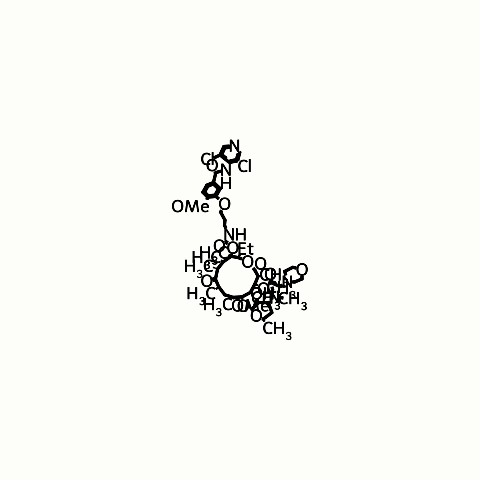 CC[C@H]1OC(=O)[C@H](C)[C@@H](OC(=O)CN2CCOCC2)[C@H](C)[C@@H](O[C@@H]2O[C@H](C)C[C@H](N(C)C)[C@H]2O)[C@](C)(OC)C[C@@H](C)C(=O)[C@H](C)[C@@H](C)[C@]1(C)OC(=O)NCCCOc1cc(C(=O)Nc2c(Cl)cncc2Cl)ccc1OC